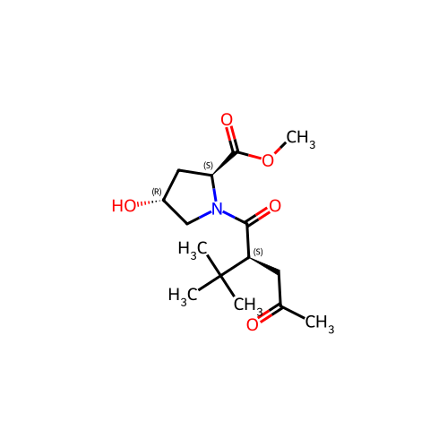 COC(=O)[C@@H]1C[C@@H](O)CN1C(=O)[C@@H](CC(C)=O)C(C)(C)C